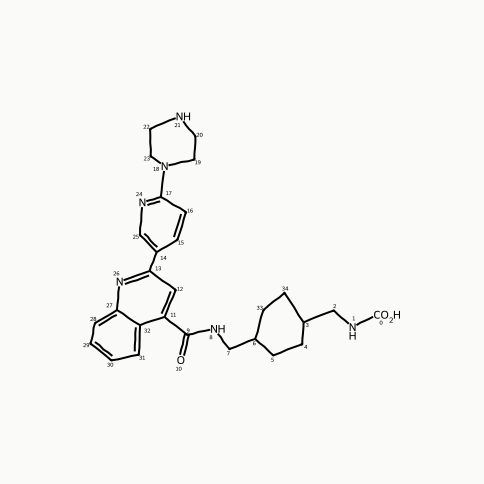 O=C(O)NCC1CCC(CNC(=O)c2cc(-c3ccc(N4CCNCC4)nc3)nc3ccccc23)CC1